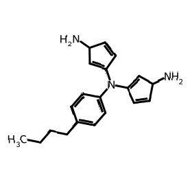 CCCCc1ccc(N(C2=CC(N)C=C2)C2=CC(N)C=C2)cc1